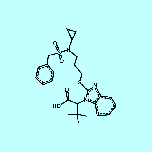 CC(C)(C)C(C(=O)O)n1c(SCCCN(C2CC2)S(=O)(=O)Cc2ccccc2)nc2ccccc21